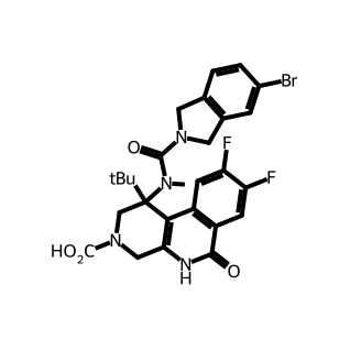 CN(C(=O)N1Cc2ccc(Br)cc2C1)C1(C(C)(C)C)CN(C(=O)O)Cc2[nH]c(=O)c3cc(F)c(F)cc3c21